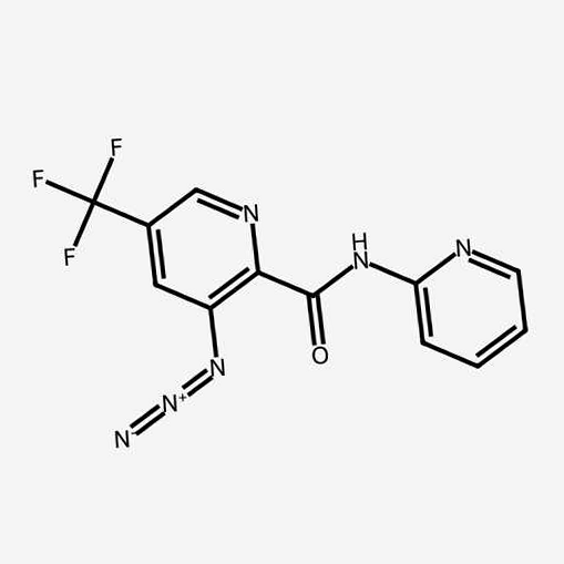 [N-]=[N+]=Nc1cc(C(F)(F)F)cnc1C(=O)Nc1ccccn1